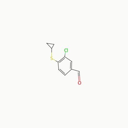 O=Cc1ccc(SC2CC2)c(Cl)c1